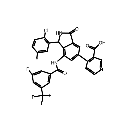 O=C(Nc1cc(-c2ccncc2C(=O)O)cc2c1C(c1cc(F)ccc1Cl)NC2=O)c1cc(F)cc(C(F)(F)F)c1